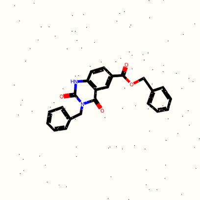 O=C(OCc1ccccc1)c1ccc2[nH]c(=O)n(Cc3ccccc3)c(=O)c2c1